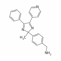 CC1(c2ccc(CN)cc2)N=C(c2ccccc2)C(c2ccncc2)=N1